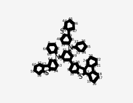 c1ccc(N(c2cc(-c3ccc4sc5c6ccccc6c6ccccc6c5c4c3)cc(N(c3ccccc3)c3ccc4sc5ccccc5c4c3)c2)c2ccc3sc4ccccc4c3c2)cc1